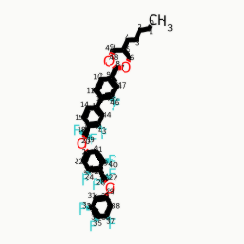 CCCCCC1COC(c2ccc(-c3ccc(C(F)(F)Oc4cc(F)c(C(F)(F)Oc5cc(F)c(F)c(F)c5)c(F)c4)c(F)c3)c(F)c2)OC1